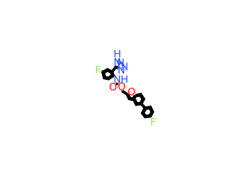 O=C(Nc1ccc(F)cc1-c1nnn[nH]1)OCc1cc2cc(-c3ccc(F)cc3)ccc2o1